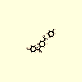 Cc1ccc(OC(=O)C2CCC(C(=O)c3ccc(C)cc3)CC2)cc1